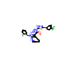 O=C(Nc1nnc(-c2ccc(F)cc2)s1)c1nn(Cc2ccccc2F)c2ncccc12